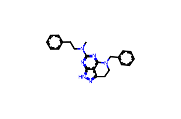 CN(CCc1ccccc1)c1nc2c3c(n[nH]c3n1)CCN2Cc1ccccc1